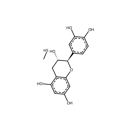 CS.Oc1cc(O)c2c(c1)O[C@H](c1ccc(O)c(O)c1)[C@@H](O)C2